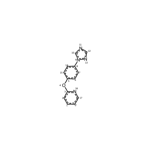 [c]1ccc(Oc2ccc(-n3cncn3)cc2)nc1